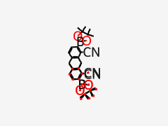 CC1(C)OB(c2ccc3c(c2C#N)C2c4c(ccc(B5OC(C)(C)C(C)(C)O5)c4C#N)C3c3ccc(B4OC(C)(C)C(C)(C)O4)c(C#N)c32)OC1(C)C